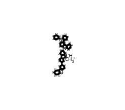 CC1(C)c2cc(-c3ccc4oc5ccccc5c4c3)ccc2-c2ccc(-n3c4ccccc4c4c5c6ccccc6n(-c6ccccc6)c5ccc43)cc21